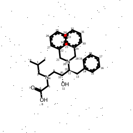 CC(C)CN(CC(=O)O)C[C@@H](O)[C@H](Cc1ccccc1)N(Cc1ccccc1)Cc1ccccc1